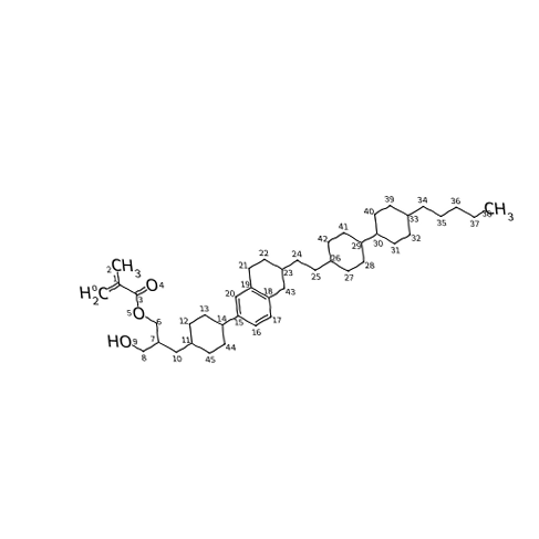 C=C(C)C(=O)OCC(CO)CC1CCC(c2ccc3c(c2)CCC(CCC2CCC(C4CCC(CCCCC)CC4)CC2)C3)CC1